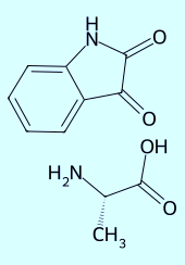 C[C@H](N)C(=O)O.O=C1Nc2ccccc2C1=O